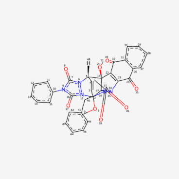 COC12C=C[C@H](n3c(=O)n(-c4ccccc4)c(=O)n31)[C@]1(OC)C3=C(C(=O)c4ccccc4C3=O)N3C(=O)C(=O)N(Cc4ccccc4)[C@@]321